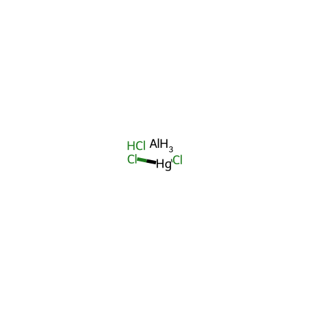 Cl.[AlH3].[Cl][Hg][Cl]